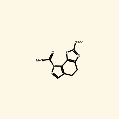 CNC(=O)n1ncc2c1-c1sc(NC(C)=O)nc1CC2